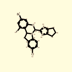 Fc1cc(Br)cc2c1C1Cc3cc(Cl)ccc3N1C(c1nc3c(s1)CCC3)O2